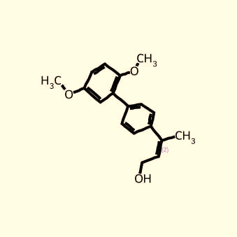 COc1ccc(OC)c(-c2ccc(/C(C)=C\CO)cc2)c1